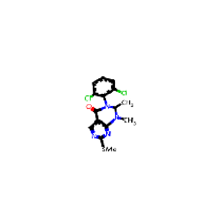 CSc1ncc2c(n1)N(C)C(C)N(c1c(Cl)cccc1Cl)C2=O